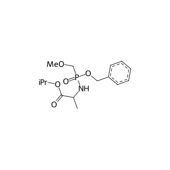 COCP(=O)(NC(C)C(=O)OC(C)C)OCc1ccccc1